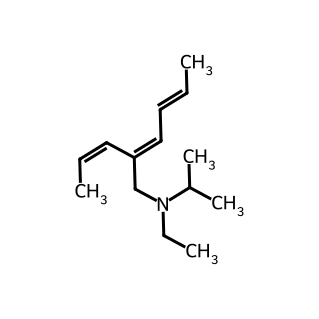 CC=C/C=C(\C=C/C)CN(CC)C(C)C